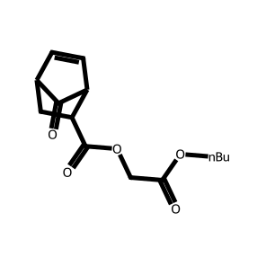 CCCCOC(=O)COC(=O)C1CC2C=CC1C2=O